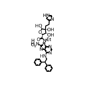 CCN(C(=O)[C@H]1O[C@@H](O)[C@@](O)(CCc2c[nH]cn2)[C@@H]1O)n1c(N)nc2c(NCC(c3ccccc3)c3ccccc3)ncnc21.Cl